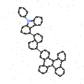 c1ccc(-n2c3ccccc3c3c(-c4cccc5c(-c6ccc7c(c6)c6ccccc6c6c8ccccc8c8ccccc8c76)cccc45)cccc32)cc1